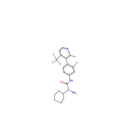 Cc1nccc(C(F)(F)F)c1-c1ccc(NC(=O)C(N)C2CCCCC2)cc1F